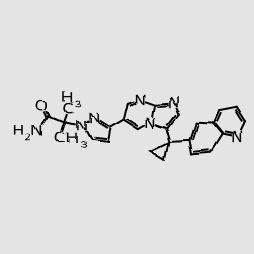 CC(C)(C(N)=O)n1ccc(-c2cnc3ncc(C4(c5ccc6ncccc6c5)CC4)n3c2)n1